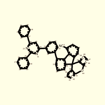 N#Cc1cccc2c1-c1c(-c3cccc(-c4cc(-c5ccccc5)nc(-c5ccccc5)n4)c3)cccc1C21c2ccccc2Oc2ccccc21